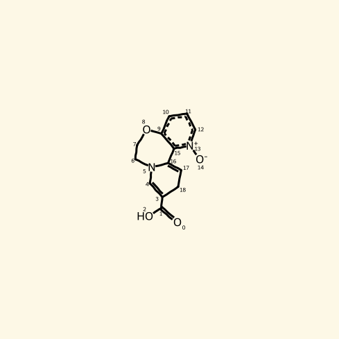 O=C(O)C1=CN2CCOc3ccc[n+]([O-])c3C2=CC1